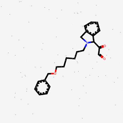 O=CC(=O)C1c2ccccc2CN1CCCCCCOCc1ccccc1